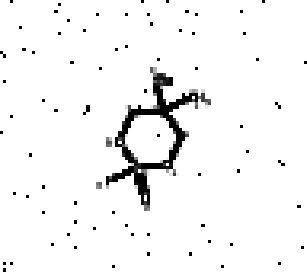 CC(C)(C)C1(C)COP(=O)(F)OC1